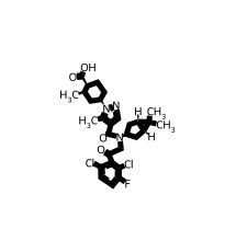 Cc1c(C(=O)N(CC(=O)c2c(Cl)ccc(F)c2Cl)[C@H]2C[C@@H]3[C@H](C2)C3(C)C)cnn1[C@H]1CC[C@H](C(=O)O)[C@H](C)C1